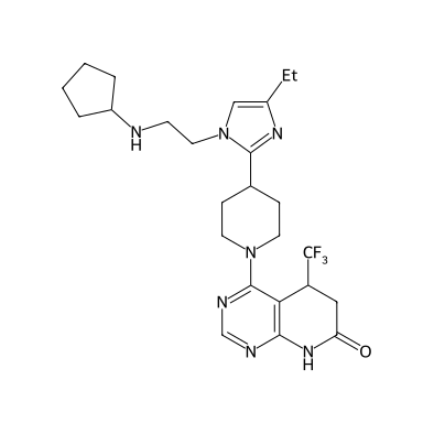 CCc1cn(CCNC2CCCC2)c(C2CCN(c3ncnc4c3C(C(F)(F)F)CC(=O)N4)CC2)n1